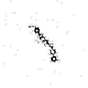 COc1ccc(-c2nc(C[S+]([O-])CC(=O)NCCN3CCN(c4cccc(Cl)c4)CC3)c(C)o2)cc1